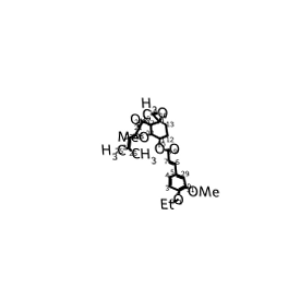 CCOc1ccc(/C=C/C(=O)O[C@@H]2CC[C@]3(CO3)C([C@]3(C)OC3CC=C(C)C)[C@@H]2OC)cc1OC